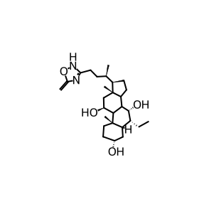 C=C1N=C(CC[C@@H](C)[C@H]2CCC3C4C([C@@H](O)C[C@@]32C)[C@@]2(C)CC[C@@H](O)C[C@H]2[C@@H](CC)[C@H]4O)NO1